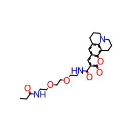 CCC(=O)NCCOCCOCCNC(=O)c1cc2cc3c4c(c2oc1=O)CCCN4CCC3